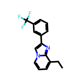 CCc1cccn2cc(-c3cccc(C(F)(F)F)c3)nc12